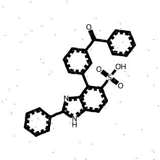 O=C(c1ccccc1)c1cccc(-c2c(S(=O)(=O)O)ccc3[nH]c(-c4ccccc4)nc23)c1